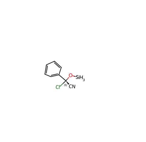 N#C[C@](Cl)(O[SiH3])c1ccccc1